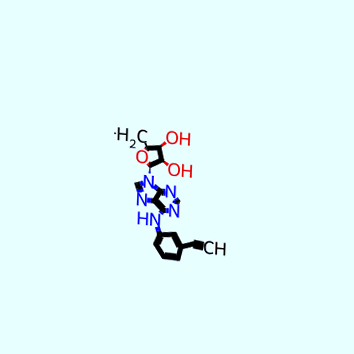 C#Cc1cccc(Nc2ncnc3c2ncn3[C@@H]2O[C@H]([CH2])[C@@H](O)[C@H]2O)c1